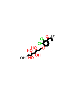 C=C(CC)C(=O)c1ccc(OCCC(O)[C@@H](O)[C@@H](O)[C@H](O)CC=O)c(Cl)c1Cl